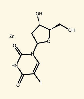 O=c1[nH]c(=O)n(C2C[C@H](O)[C@@H](CO)O2)cc1I.[Zn]